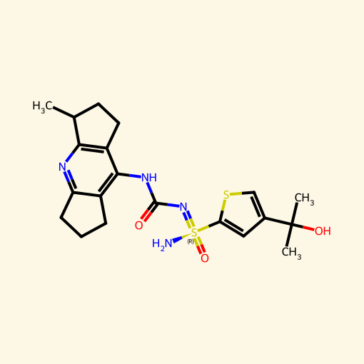 CC1CCc2c1nc1c(c2NC(=O)N=[S@@](N)(=O)c2cc(C(C)(C)O)cs2)CCC1